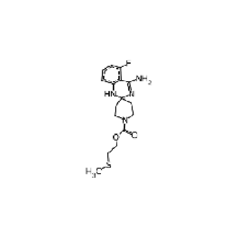 CSCCOC(=O)N1CCC2(CC1)N=C(N)c1c(F)cccc1N2